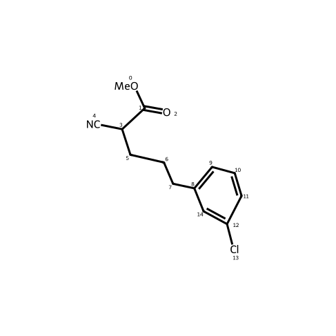 COC(=O)C(C#N)CCCc1cccc(Cl)c1